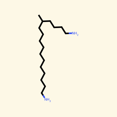 CC(CCCCN)CCCCCCCCCCCN